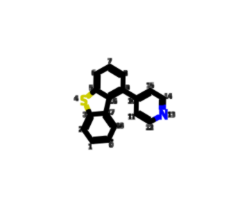 [c]1ccc2sc3cccc(-c4ccncc4)c3c2c1